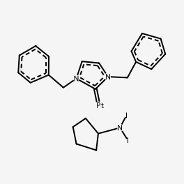 IN(I)C1CCCC1.[Pt]=[c]1n(Cc2ccccc2)ccn1Cc1ccccc1